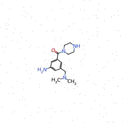 CN(C)Cc1cc(N)cc(C(=O)N2CCNCC2)c1